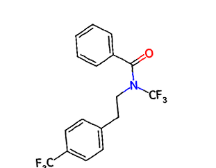 O=C(c1ccccc1)N(CCc1ccc(C(F)(F)F)cc1)C(F)(F)F